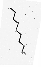 CCCSSCCON